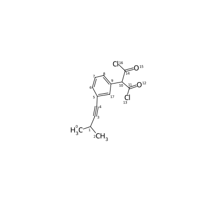 CC(C)C#Cc1cccc(C(C(=O)Cl)C(=O)Cl)c1